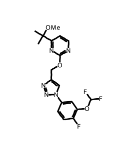 COC(C)(C)c1ccnc(OCc2cn(-c3ccc(F)c(OC(F)F)c3)nn2)n1